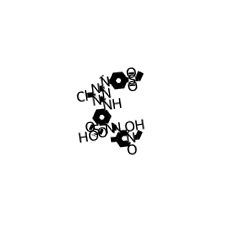 C=CS(=O)(=O)c1ccc(N(C)c2nc(Cl)nc(Nc3ccc(S(=O)(=O)O)c(N=Nc4c(C)cc(=O)n(CC)c4O)c3)n2)cc1